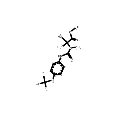 COC(=O)C(C)(O)N(C)C(=O)Nc1ccc(OC(F)(F)F)cc1